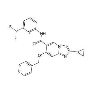 O=C(Nc1cccc(C(F)F)n1)c1cn2cc(C3CC3)nc2cc1OCc1ccccc1